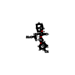 COCCOC(=O)N1CC2CCC(C1)N2C[C@@H](COc1ccc(C#N)cc1)NC(=O)OC